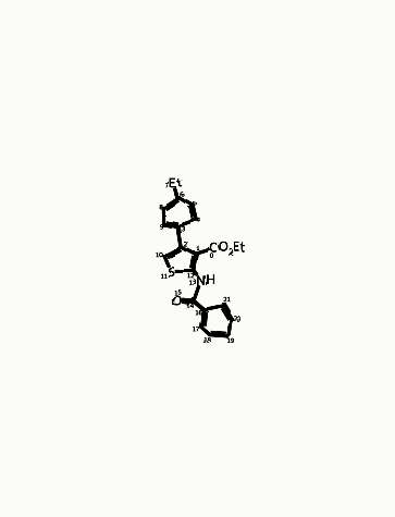 CCOC(=O)c1c(-c2ccc(CC)cc2)csc1NC(=O)c1ccccc1